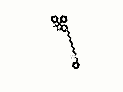 NC(=O)C(c1ccccc1)(c1ccccc1)C1CCN(CCCCCCCCCNCc2ccccc2)CC1